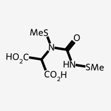 CSNC(=O)N(SC)C(C(=O)O)C(=O)O